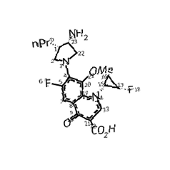 CCC[C@H]1CN(c2c(F)cc3c(=O)c(C(=O)O)cn([C@@H]4C[C@@H]4F)c3c2OC)C[C@H]1N